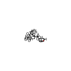 CCCC1(C)CC1(C(=O)OC1CCOC1=O)C(C)(CC)C1(C)CC1(CC(C)C)C(=O)OC1(C)C2CC3CC1CC(I)(C3)C2